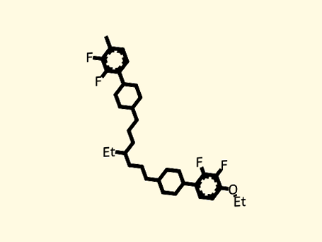 CCOc1ccc(C2CCC(CCCC(CC)CCCC3CCC(c4ccc(C)c(F)c4F)CC3)CC2)c(F)c1F